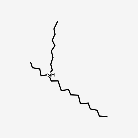 CCCCCCCCCCCC[SiH](CCCC)CCCCCCCCC